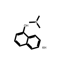 CN(C)C.Oc1cccc2ccccc12.[KH]